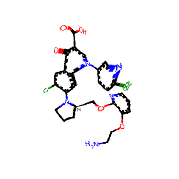 NCCOc1cccnc1OC[C@H]1CCCN1c1cc2c(cc1Cl)c(=O)c(C(=O)O)cn2-c1ccc(Br)nc1